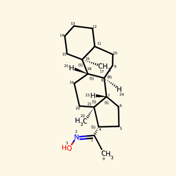 CC(=NO)[C@H]1CC[C@H]2[C@@H]3CCC4CCCC[C@]4(C)[C@H]3CC[C@]12C